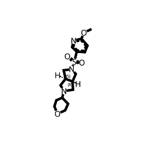 COc1ccc(S(=O)(=O)N2C[C@H]3CN(C4CCOCC4)C[C@H]3C2)cn1